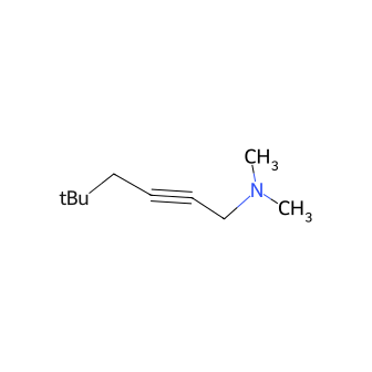 CN(C)CC#CCC(C)(C)C